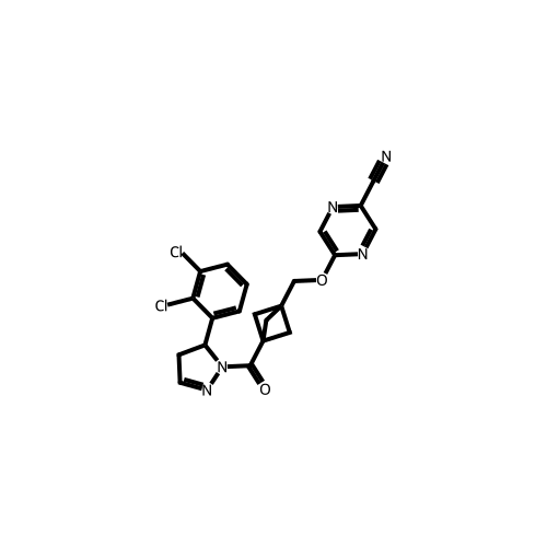 N#Cc1cnc(OCC23CC(C(=O)N4N=CCC4c4cccc(Cl)c4Cl)(C2)C3)cn1